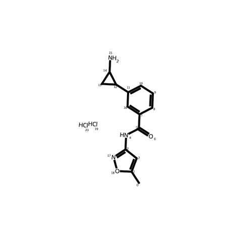 Cc1cc(NC(=O)c2cccc(C3CC3N)c2)no1.Cl.Cl